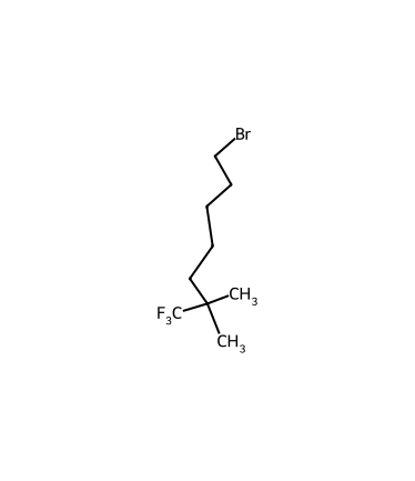 CC(C)(CCCCCBr)C(F)(F)F